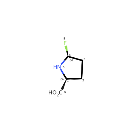 O=C(O)[C@@H]1CC[C@H](F)N1